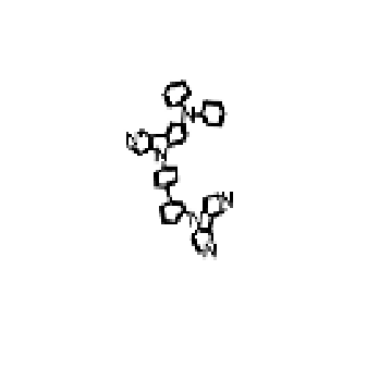 c1ccc(N(c2ccccc2)c2ccc3c(c2)c2cnccc2n3-c2ccc(-c3cccc(-n4c5ccncc5c5cnccc54)c3)cc2)cc1